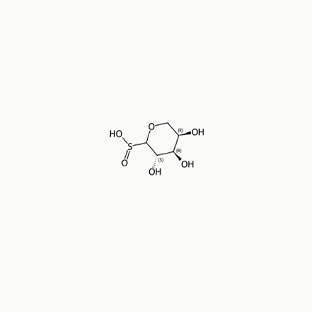 O=S(O)C1OC[C@@H](O)[C@@H](O)[C@@H]1O